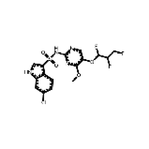 COc1nc(NS(=O)(=O)c2c[nH]c3cc(Cl)ccc23)ncc1OC(F)C(F)CF